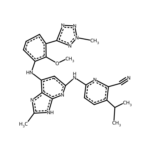 COc1c(Nc2cc(Nc3ccc(C(C)C)c(C#N)n3)nc3[nH]c(C)nc23)cccc1-c1nnn(C)n1